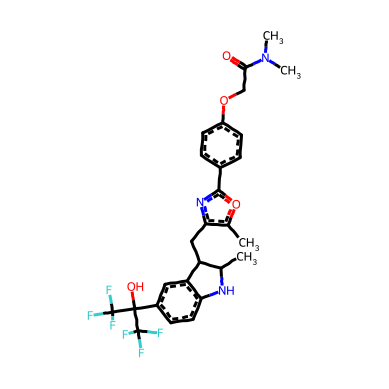 Cc1oc(-c2ccc(OCC(=O)N(C)C)cc2)nc1CC1c2cc(C(O)(C(F)(F)F)C(F)(F)F)ccc2NC1C